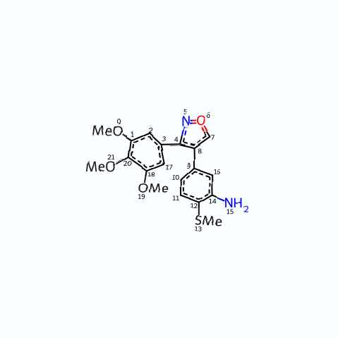 COc1cc(-c2nocc2-c2ccc(SC)c(N)c2)cc(OC)c1OC